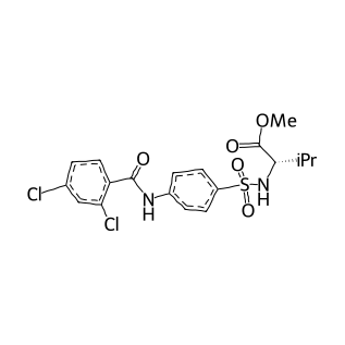 COC(=O)[C@@H](NS(=O)(=O)c1ccc(NC(=O)c2ccc(Cl)cc2Cl)cc1)C(C)C